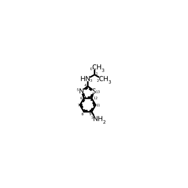 CC(C)Nc1nc2ccc(N)cc2s1